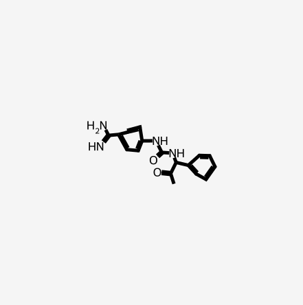 CC(=O)C(NC(=O)Nc1ccc(C(=N)N)cc1)c1ccccc1